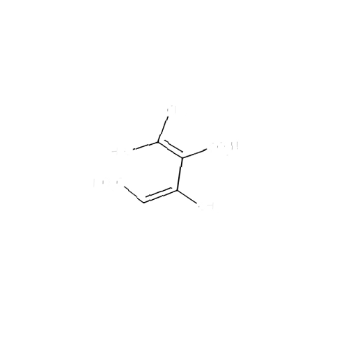 CC(C)=C(C(=O)O)/C(C)=C\C(=O)O